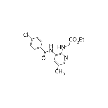 CCOC(=O)CNc1ncc(C)cc1NC(=O)c1ccc(Cl)cc1